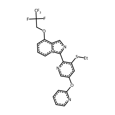 CCSc1cc(Oc2ccccn2)cnc1-c1ncc2c(OCC(F)(F)C(F)(F)F)cccn12